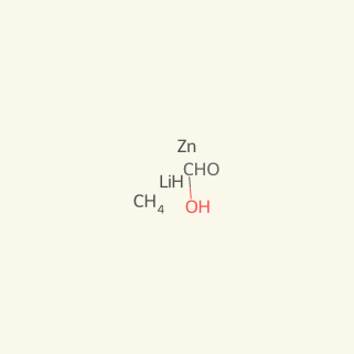 C.O=CO.[LiH].[Zn]